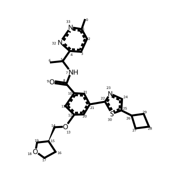 Cc1ccc(C(C)NC(=O)c2cc(OC[C@H]3CCOC3)cc(-c3ncc(C4CCC4)s3)c2)nn1